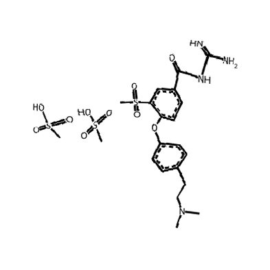 CN(C)CCc1ccc(Oc2ccc(C(=O)NC(=N)N)cc2S(C)(=O)=O)cc1.CS(=O)(=O)O.CS(=O)(=O)O